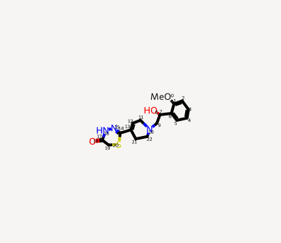 COc1ccccc1C(O)CN1CC=C(C2=NNC(=O)CS2)CC1